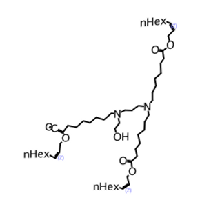 CCCCCC/C=C\COC(=O)CCCCCCCN(CCCCCCCC(=O)OC/C=C\CCCCCC)CCCN(CCO)CCCCCCCC(=C=O)OC/C=C\CCCCCC